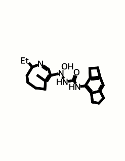 CCC1CCCC/C(C)=C(N(O)NC(=O)Nc2c3c(cc4c2CC4)CCC3)/C=N\1